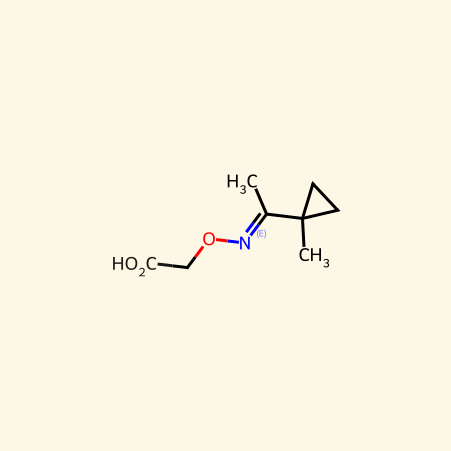 C/C(=N\OCC(=O)O)C1(C)CC1